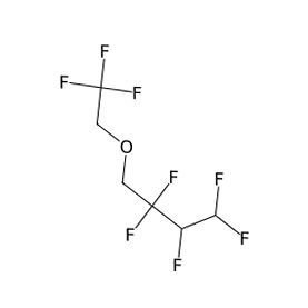 FC(F)C(F)C(F)(F)COCC(F)(F)F